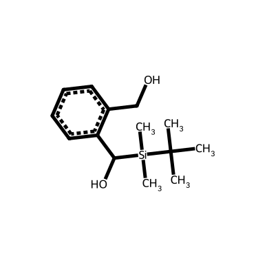 CC(C)(C)[Si](C)(C)C(O)c1ccccc1CO